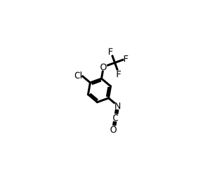 O=C=Nc1ccc(Cl)c(OC(F)(F)F)c1